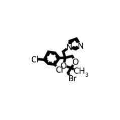 CC1(CBr)OCC(Cn2ccnc2)(c2ccc(Cl)cc2Cl)O1